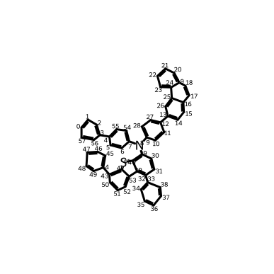 c1ccc(-c2ccc(N(c3ccc(-c4ccc5ccc6ccccc6c5c4)cc3)c3ccc(-c4ccccc4)c4c3sc3c(-c5ccccc5)cccc34)cc2)cc1